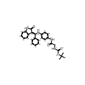 CC(C)(C)OC(=O)NCC(=O)Nc1ccc(N/C(=C2\C(=O)Nc3ccccc32)c2ccccc2)cc1